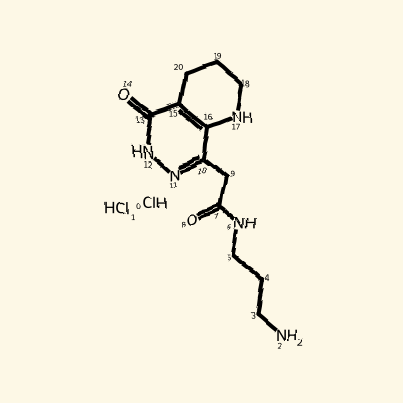 Cl.Cl.NCCCNC(=O)Cc1n[nH]c(=O)c2c1NCCC2